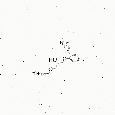 CC=Cc1ccccc1OCC(O)COCCCCCCCCCC